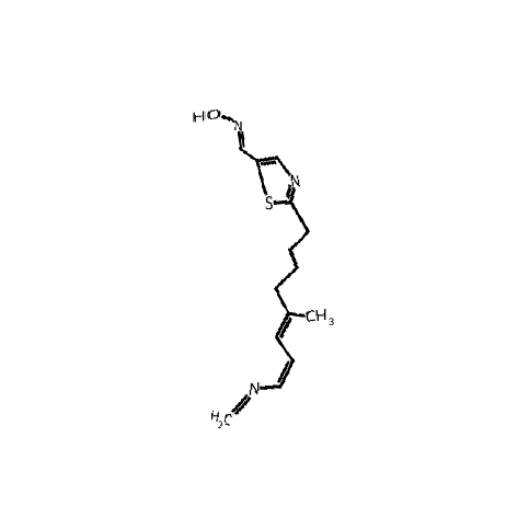 C=N/C=C\C=C(/C)CCCCc1ncc(/C=N/O)s1